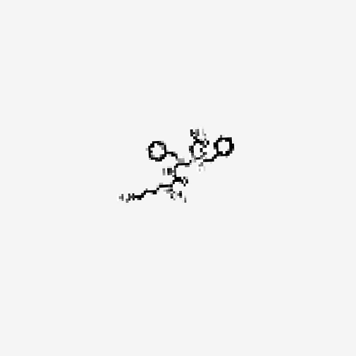 C[C@@H](CCCCN)C(=O)N[C@@H](Cc1ccccc1)CN(CC(N)=O)S(=O)(=O)Cc1ccccc1